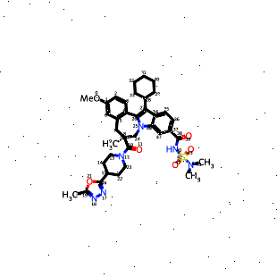 COc1ccc2c(c1)C[C@](C)(C(=O)N1CCC(c3nnc(C)o3)CC1)Cn1c-2c(C2CCCCC2)c2ccc(C(=O)NS(=O)(=O)N(C)C)cc21